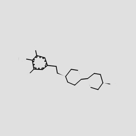 CCC[C@H]1CC[C@H]([C@H]2CC[C@H](CCc3cc(F)c(C(F)(F)F)c(F)c3)CC2)CC1